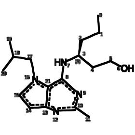 CCC[C@@H](CCO)Nc1nc(C)nc2ccn(CC(C)C)c12